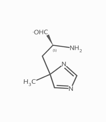 CC1(C[C@H](N)[C]=O)C=NC=N1